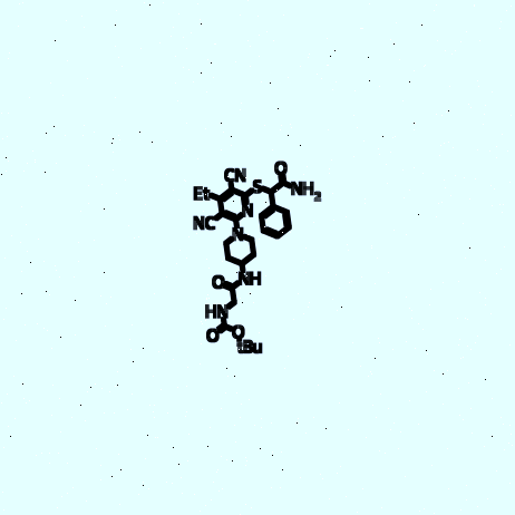 CCc1c(C#N)c(SC(C(N)=O)c2ccccc2)nc(N2CCC(NC(=O)CNC(=O)OC(C)(C)C)CC2)c1C#N